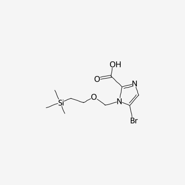 C[Si](C)(C)CCOCn1c(Br)cnc1C(=O)O